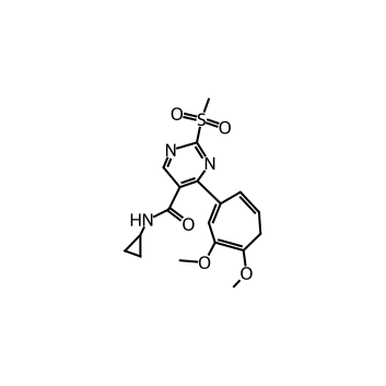 COC1=C(OC)CC=CC(c2nc(S(C)(=O)=O)ncc2C(=O)NC2CC2)=C1